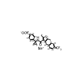 Cc1sc(C)c(C(=O)NC2(c3ccc(C(=O)[O-])cc3)CC2)c1Cc1ccc(C(F)(F)F)cc1.[Na+]